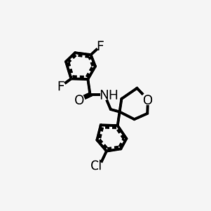 O=C(NCC1(c2ccc(Cl)cc2)CCOCC1)c1cc(F)ccc1F